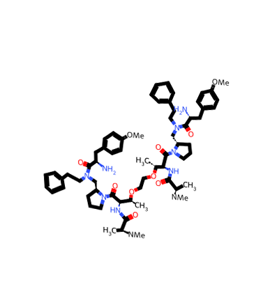 CN[C@@H](C)C(=O)N[C@H](C(=O)N1CCC[C@H]1CN(CCc1ccccc1)C(=O)[C@H](N)Cc1ccc(OC)cc1)[C@@H](C)OCCO[C@H](C)[C@H](NC(=O)[C@H](C)NC)C(=O)N1CCC[C@H]1CN(CCc1ccccc1)C(=O)[C@H](N)Cc1ccc(OC)cc1